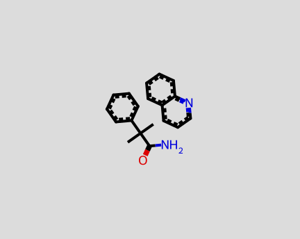 CC(C)(C(N)=O)c1ccccc1.c1ccc2ncccc2c1